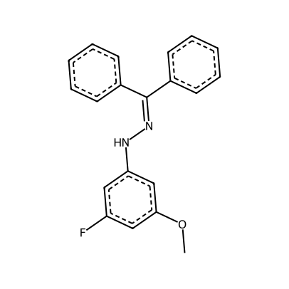 COc1cc(F)cc(NN=C(c2ccccc2)c2ccccc2)c1